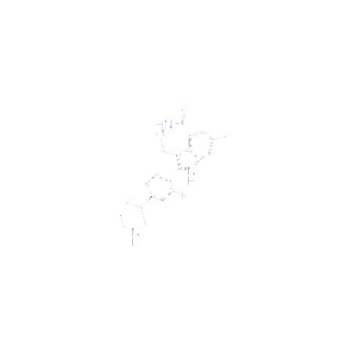 O=C1NOCc2c(-c3ccc([C@@H]4CCCNC4)cc3F)[nH]c3cc(F)cc1c23